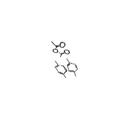 CC(=O)OC(C)=O.Cc1ccc(C)cc1.Cc1ccc(C)cc1